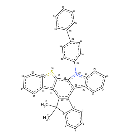 CC1(C)c2ccccc2-c2c1c1c3ccccc3sc1c1c2c2ccccc2n1-c1ccc(-c2ccccc2)cc1